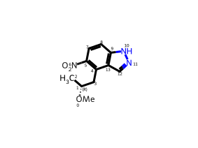 CO[C@H](C)Cc1c([N+](=O)[O-])ccc2[nH]ncc12